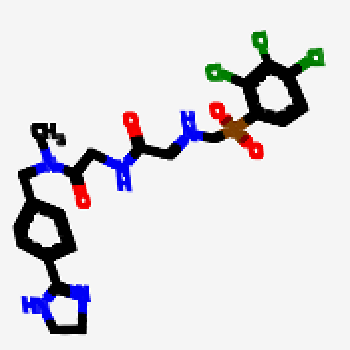 CN(Cc1ccc(C2=NCCN2)cc1)C(=O)CNC(=O)CNCS(=O)(=O)c1ccc(Cl)c(Cl)c1Cl